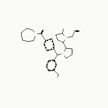 C=CCN1C(C)CCC1C1CCCN1C(c1ccc(C(=O)N2CCCCCC2)cc1)c1cccc(CC)c1